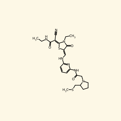 CCNC(=O)C(C#N)=c1sc(=CNc2cccc(NC(=O)CN3CCCC3CSC)n2)c(=O)n1CC